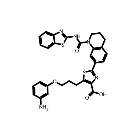 Nc1cccc(OCCCc2sc(-c3ccc4c(c3)N(C(=O)Nc3nc5ccccc5s3)CCC4)nc2C(=O)O)c1